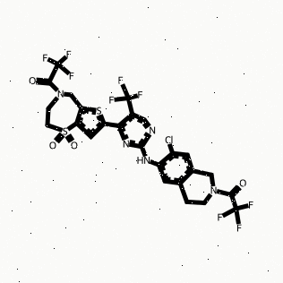 O=C(N1CCc2cc(Nc3ncc(C(F)(F)F)c(-c4cc5c(s4)CN(C(=O)C(F)(F)F)CCS5(=O)=O)n3)c(Cl)cc2C1)C(F)(F)F